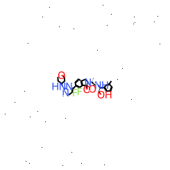 Cc1cccc([C@@H](CO)NC(=O)[C@@H](C)N2Cc3ccc(-c4nc(NC5CCOCC5)ncc4F)c(F)c3C2=O)c1